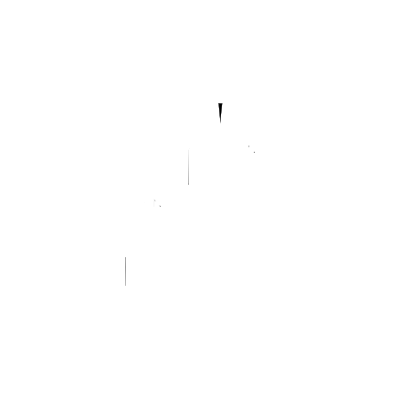 N[C@@H](CCNCCC(F)(F)F)C(=O)O